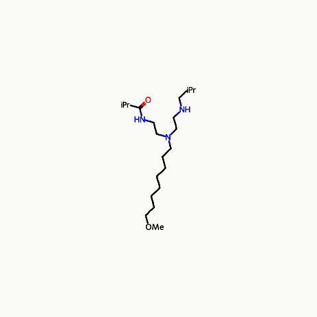 COCCCCCCCCN(CCNCC(C)C)CCNC(=O)C(C)C